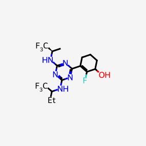 CCC(Nc1nc(N[C@H](C)C(F)(F)F)nc(C2=C(F)C(O)CCC2)n1)C(F)(F)F